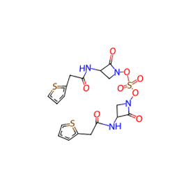 O=C(Cc1cccs1)NC1CN(OS(=O)(=O)ON2CC(NC(=O)Cc3cccs3)C2=O)C1=O